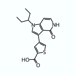 CCC(CC)n1cc(-c2csc(C(=O)O)c2)c2c(=O)[nH]ccc21